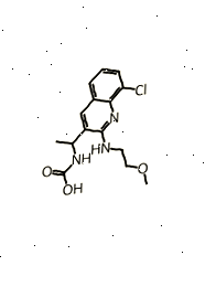 COCCNc1nc2c(Cl)cccc2cc1C(C)NC(=O)O